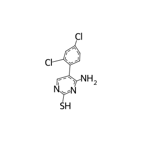 Nc1nc(S)ncc1-c1ccc(Cl)cc1Cl